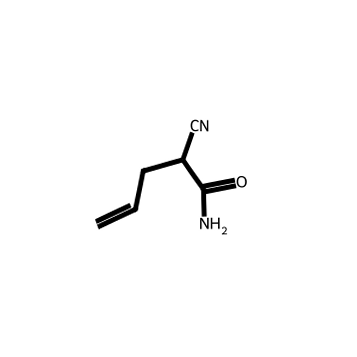 C=CCC(C#N)C(N)=O